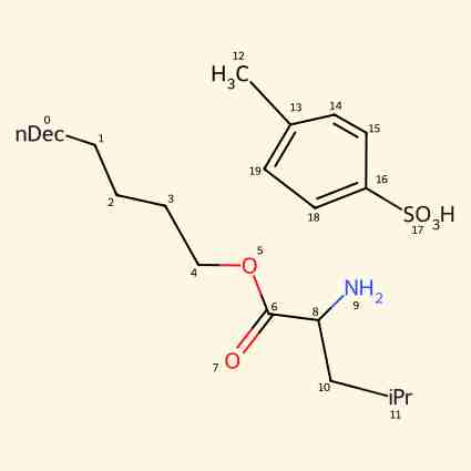 CCCCCCCCCCCCCCOC(=O)C(N)CC(C)C.Cc1ccc(S(=O)(=O)O)cc1